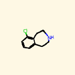 Clc1cccc2c1CCNCC2